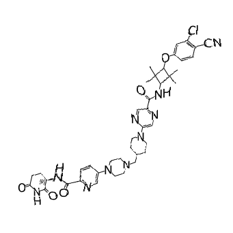 CC1(C)C(NC(=O)c2cnc(N3CCC(CN4CCN(c5ccc(C(=O)N[C@@H]6CCC(=O)NC6=O)nc5)CC4)CC3)cn2)C(C)(C)C1Oc1ccc(C#N)c(Cl)c1